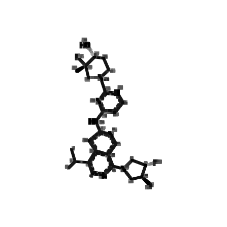 CC(C)c1cnc(N2C[C@H](F)[C@@H](F)C2)c2cnc(Nc3ccnc(N4CC[C@@H](O)[C@@](C)(F)C4)n3)cc12